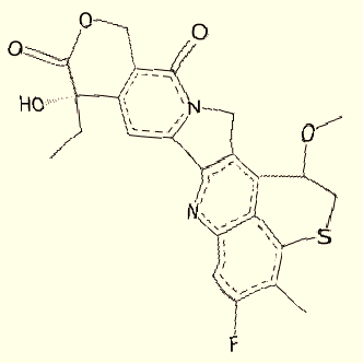 CC[C@@]1(O)C(=O)OCc2c1cc1n(c2=O)Cc2c-1nc1cc(F)c(C)c3c1c2C(OC)CS3